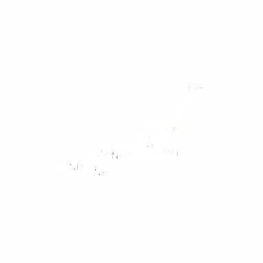 CNCC(NC)ON=C[C@H]1CC[C@]2(O)C/C(=C/CCO)CC[C@]12C